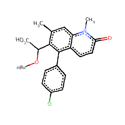 CCCCOC(C(=O)O)c1c(C)cc2c(ccc(=O)n2C)c1-c1ccc(Cl)cc1